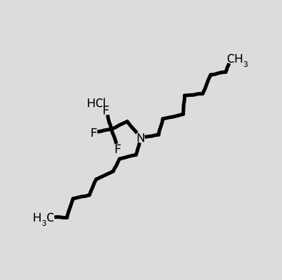 CCCCCCCCN(CCCCCCCC)CC(F)(F)F.Cl